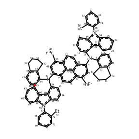 CCCc1cc(N(c2cccc3c2CCCC3)c2cccc3c2c2ccccc2n3-c2ccccc2CC)c2ccc3c(CCC)cc(N(c4cccc5c4CCCC5)c4cccc5c4c4ccccc4n5-c4ccccc4CC)c4ccc1c2c34